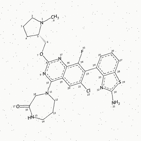 CN1CCC[C@H]1COc1nc(N2CCCNC(=O)C2)c2cc(Cl)c(-c3cccc4sc(N)nc34)c(F)c2n1